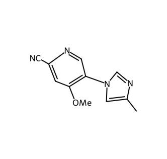 COc1cc(C#N)ncc1-n1cnc(C)c1